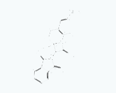 CC(=O)NN=CC1=C(C(=O)O)N2C(=O)C(N3C(=O)c4ccccc4C3=O)[C@@H]2SC1